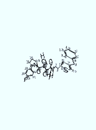 O=C(NCCc1cc(Cc2ccccc2)cs1)[C@H](O)[C@@H](O)C(=O)N1CCC[C@@H]1c1ccc(F)cc1